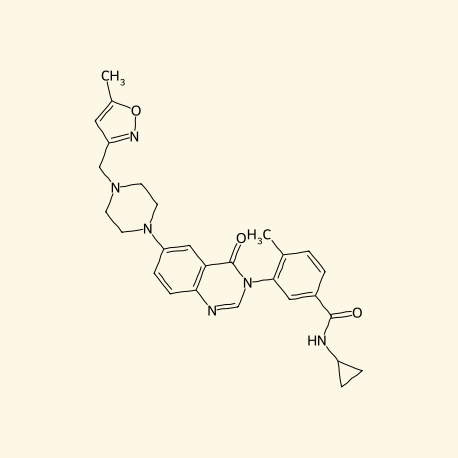 Cc1cc(CN2CCN(c3ccc4ncn(-c5cc(C(=O)NC6CC6)ccc5C)c(=O)c4c3)CC2)no1